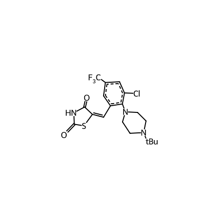 CC(C)(C)N1CCN(c2c(Cl)cc(C(F)(F)F)cc2C=C2SC(=O)NC2=O)CC1